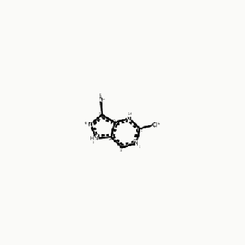 Clc1ncc2[nH]nc(Br)c2n1